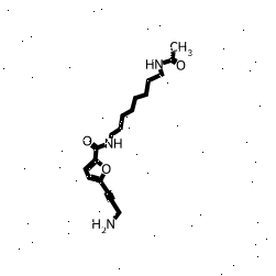 CC(=O)NCCCCCCCCNC(=O)c1ccc(C#CCN)o1